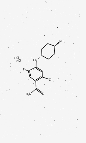 Cl.Cl.NC(=O)c1cc(F)c(N[C@H]2CC[C@H](N)CC2)nc1Cl